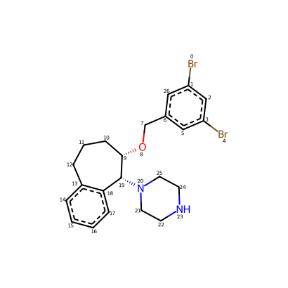 Brc1cc(Br)cc(CO[C@H]2CCCc3ccccc3[C@H]2N2CCNCC2)c1